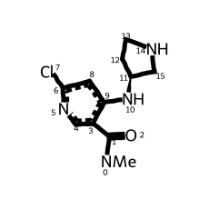 CNC(=O)c1cnc(Cl)cc1N[C@H]1CCNC1